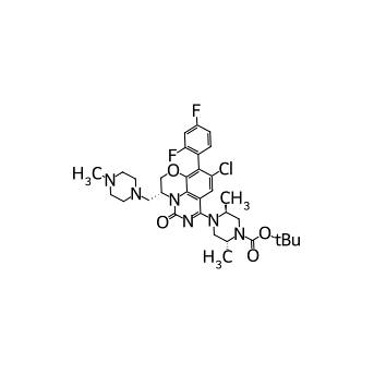 C[C@@H]1CN(c2nc(=O)n3c4c(c(-c5ccc(F)cc5F)c(Cl)cc24)OC[C@H]3CN2CCN(C)CC2)[C@@H](C)CN1C(=O)OC(C)(C)C